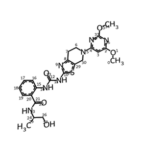 COc1cc(N2CCc3nc(NC(=O)Nc4ccccc4C(=O)N[C@H](C)CO)sc3C2)nc(OC)n1